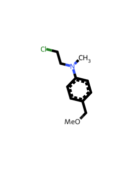 COCc1ccc(N(C)CCCl)cc1